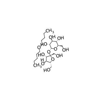 CCCCCOCCCCC.OC[C@H]1O[C@@](CO)(O[C@H]2O[C@H](CO)[C@@H](O)[C@H](O)[C@H]2O)[C@@H](O)[C@@H]1O